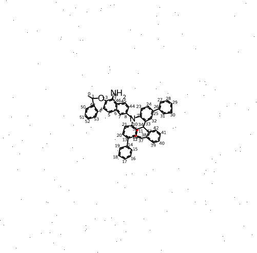 CC(Oc1ccc2cc(N(c3ccc(-c4ccccc4)cc3)c3ccc(-c4ccccc4)cc3C3CC=Cc4ccccc43)ccc2c1N)c1ccccc1